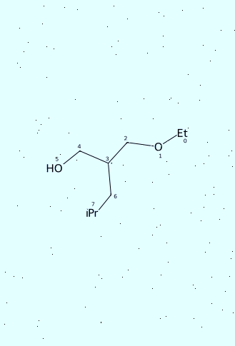 CCOC[C](CO)CC(C)C